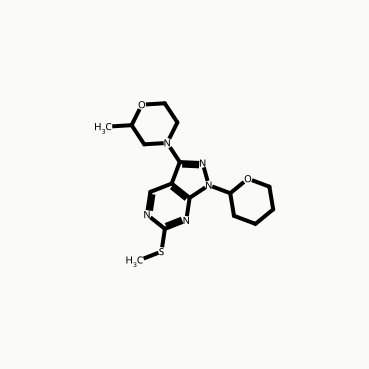 CSc1ncc2c(N3CCOC(C)C3)nn(C3CCCCO3)c2n1